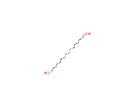 OCCCCCCC[CH]CCCCCCCCO